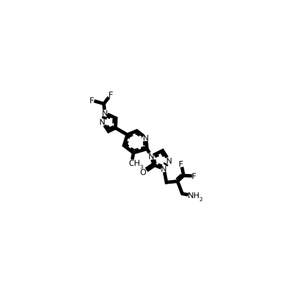 Cc1cc(-c2cnn(C(F)F)c2)cnc1-n1cnn(CC(CN)=C(F)F)c1=O